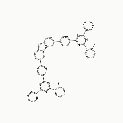 Cc1ccccc1-c1nc(-c2ccccc2)nc(-c2ccc(-c3ccc4sc5ccc(-c6ccc(-c7nc(-c8ccccc8)nc(-c8ccccc8C)n7)cc6)cc5c4c3)cc2)n1